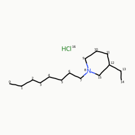 CCCCCCCCN1CCCC(CC)C1.Cl